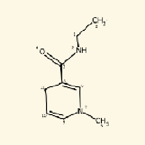 [CH2]CNC(=O)C1=CN(C)C=CC1